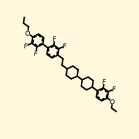 CCCOc1ccc(-c2ccc(CCC3CCC(C4CCC(c5ccc(OCC)c(F)c5F)CC4)CC3)c(F)c2F)c(F)c1F